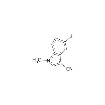 Cn1cc(C#N)c2cc(I)ccc21